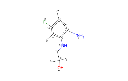 Cc1cc(N)c(NCC(C)(C)O)c(C)c1F